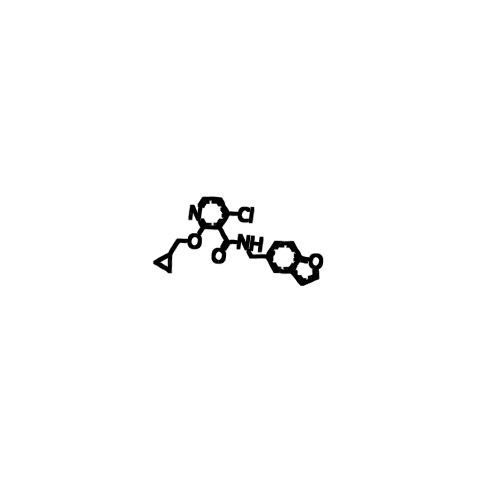 O=C(NCc1ccc2occc2c1)c1c(Cl)ccnc1OCC1CC1